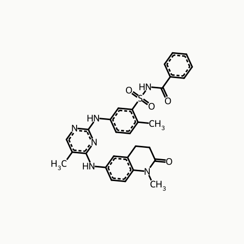 Cc1ccc(Nc2ncc(C)c(Nc3ccc4c(c3)CCC(=O)N4C)n2)cc1S(=O)(=O)NC(=O)c1ccccc1